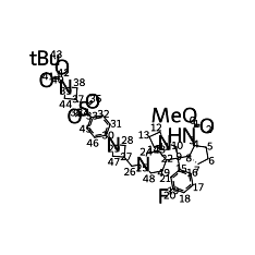 COC(=O)N[C@H]1CCC[C@@H]1[C@](CN1CCC1)(c1cccc(F)c1)C1CCN(CC2CN(c3ccc(S(=O)(=O)C4CN(C(=O)OC(C)(C)C)C4)cc3)C2)CC1